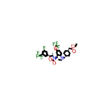 CCOC(=O)C[C@H]1CC[C@H](CN(CC)c2ccc(OC(F)(F)F)cc2CN2C(=O)O[C@H](c3cc(F)cc(C(F)(F)F)c3)[C@@H]2C)CC1